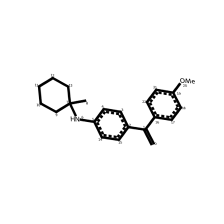 C=C(c1ccc(NC2(C)CCCCC2)cc1)c1ccc(OC)cc1